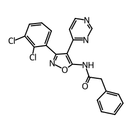 O=C(Cc1ccccc1)Nc1onc(-c2cccc(Cl)c2Cl)c1-c1ccncn1